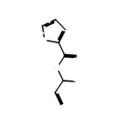 C=CC(S)NC(=O)c1cccs1